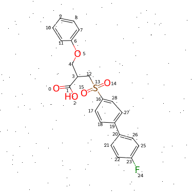 O=C(O)C(COc1ccccc1)CS(=O)(=O)c1ccc(-c2ccc(F)cc2)cc1